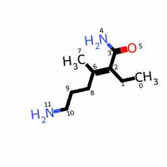 CCC(C(N)=O)=C(C)CCCN